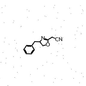 N#CCC1=NC(Cc2ccccc2)CO1